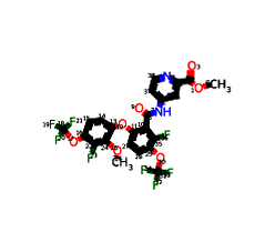 COC(=O)c1cc(NC(=O)c2c(Oc3ccc(OC(F)(F)F)c(F)c3OC)ccc(OC(F)(F)F)c2F)ccn1